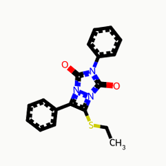 CCSc1c(-c2ccccc2)n2c(=O)n(-c3ccccc3)c(=O)n12